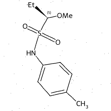 C[CH][C@@H](OC)S(=O)(=O)Nc1ccc(C)cc1